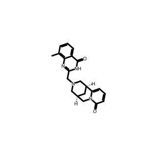 Cc1cccc2c(=O)[nH]c(CN3C[C@H]4C[C@@H](C3)c3cccc(=O)n3C4)nc12